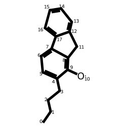 CCCCc1ccc2c(c1[O])Cc1ccccc1-2